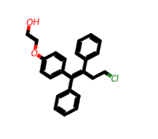 OCCOc1ccc(C(=C(CCCl)c2ccccc2)c2ccccc2)cc1